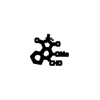 COc1c2c(c3ccccc3c1C=O)C(=O)[N+](C)C2=O